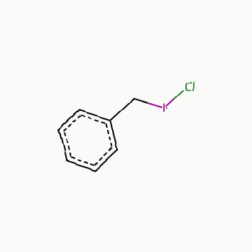 Cl[I]Cc1ccccc1